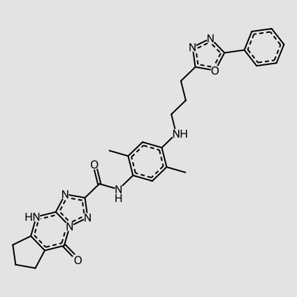 Cc1cc(NC(=O)c2nc3[nH]c4c(c(=O)n3n2)CCC4)c(C)cc1NCCCc1nnc(-c2ccccc2)o1